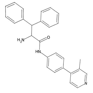 Cc1cnccc1-c1ccc(NC(=O)C(N)C(c2ccccc2)c2ccccc2)cc1